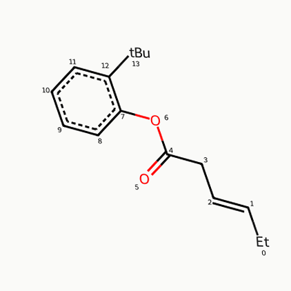 CCC=CCC(=O)Oc1ccccc1C(C)(C)C